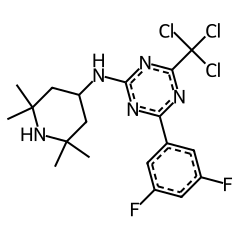 CC1(C)CC(Nc2nc(-c3cc(F)cc(F)c3)nc(C(Cl)(Cl)Cl)n2)CC(C)(C)N1